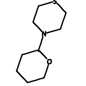 C1CC[C](N2CCSCC2)OC1